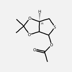 CC(=O)OC1SC[C@@H]2OC(C)(C)OC12